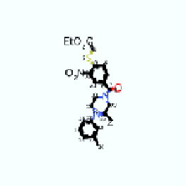 CCOC(=O)CSc1ccc(C(=O)N2CCN(c3cccc(C)c3)C(C)C2)cc1[N+](=O)[O-]